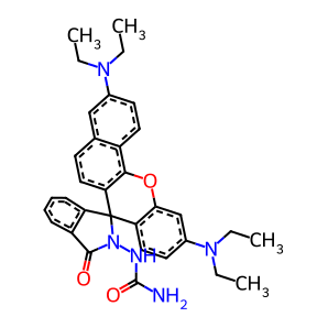 CCN(CC)c1ccc2c(c1)Oc1c(ccc3cc(N(CC)CC)ccc13)C21c2ccccc2C(=O)N1NC(N)=O